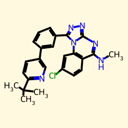 CNc1nc2nnc(-c3cccc(-c4ccc(C(C)(C)C)nc4)c3)n2c2cc(Cl)ccc12